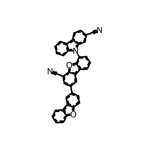 N#Cc1ccc2c3ccccc3n(-c3cccc4c3oc3c(C#N)cc(-c5ccc6oc7ccccc7c6c5)cc34)c2c1